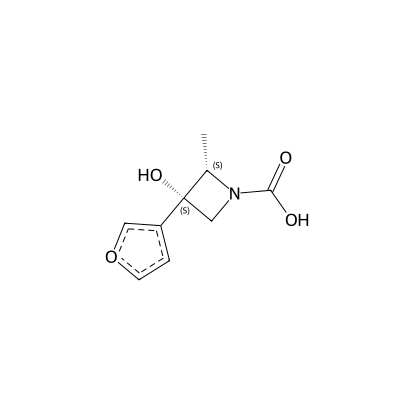 C[C@@H]1N(C(=O)O)C[C@@]1(O)c1ccoc1